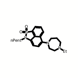 CCCCCN1c2ccc(N3CCCN(CC)CC3)c3cccc(c23)S1(=O)=O